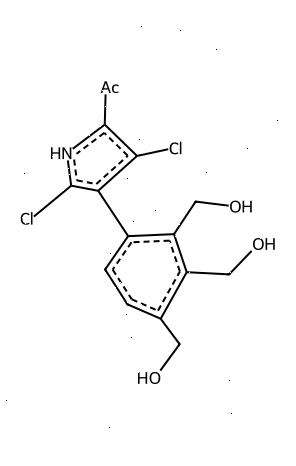 CC(=O)c1[nH]c(Cl)c(-c2ccc(CO)c(CO)c2CO)c1Cl